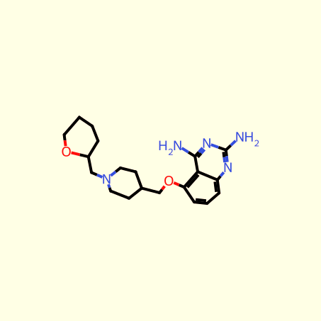 Nc1nc(N)c2c(OCC3CCN(CC4CCCCO4)CC3)cccc2n1